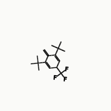 C=C1C(C(C)(C)C)=CC(C(F)(F)F)C=C1C(C)(C)C